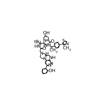 Cc1ncsc1-c1ccc([C@H](C)NC(=O)[C@@H]2C[C@@H](O)CN2C(=O)[C@@H](NC(=O)CN2CCN3c4cc(-c5ccccc5O)nnc4NC[C@@H]3C2)C(C)(C)C)cc1